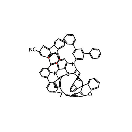 CC1(C)c2ccc3c(c2)Oc2ccccc2C32c3ccccc3-c3cc4c(cc32)B2c3cc1ccc3N(c1c(-c3ccccc3)cccc1-c1ccccc1)c1cc(-n3c5ccccc5c5cc(C#N)ccc53)cc(c12)N4c1cc(-c2ccccc2)cc(-c2ccccc2)c1